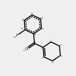 O=C(C1=CCCCC1)c1ccccc1F